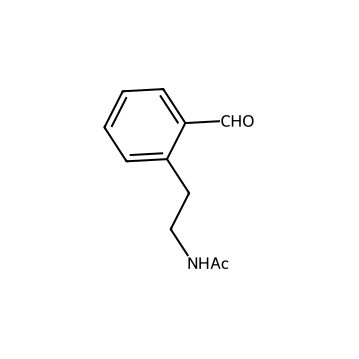 CC(=O)NCCc1ccccc1C=O